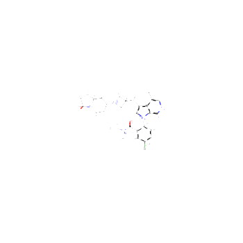 Cc1cncc2c1c(CC1CN([C@H]3CCN4C(=O)CCC4C3)C1)cn2-c1ccc(F)cc1C(=O)N(C)C(C)C